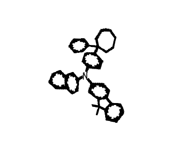 CC1(C)c2ccccc2-c2ccc(N(c3ccc(C4(c5ccccc5)CCCCCC4)cc3)c3ccc4ccccc4c3)cc21